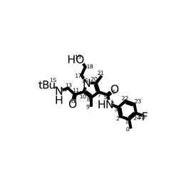 Cc1cc(NC(=O)c2c(C)c(C(=O)CNC(C)(C)C)n(CCO)c2C)ccc1F